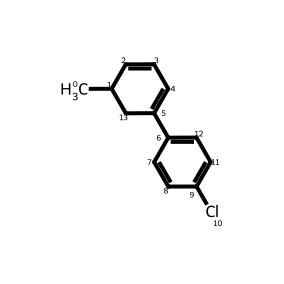 CC1C=CC=C(c2ccc(Cl)cc2)C1